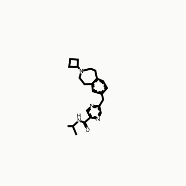 CC(C)NC(=O)c1cnc(Cc2ccc3c(c2)CCN(C2CCC2)CC3)cn1